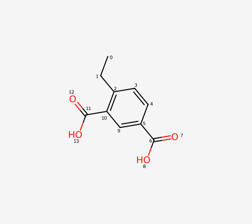 CCc1ccc(C(=O)O)cc1C(=O)O